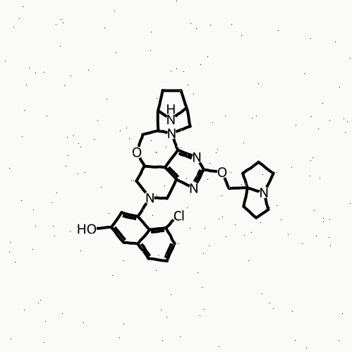 Oc1cc(N2Cc3nc(OCC45CCCN4CCC5)nc4c3C(C2)OCC2C3CCC(CN42)N3)c2c(Cl)cccc2c1